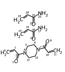 C=CC(=O)N1CCN(C(=O)C=C)CC1.C=CC(N)=O.C=CC(N)=O